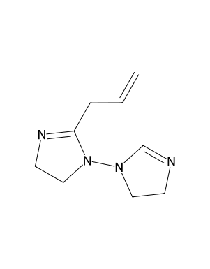 C=CCC1=NCCN1N1C=NCC1